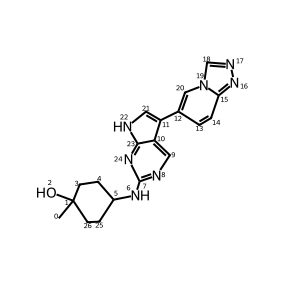 CC1(O)CCC(Nc2ncc3c(-c4ccc5nncn5c4)c[nH]c3n2)CC1